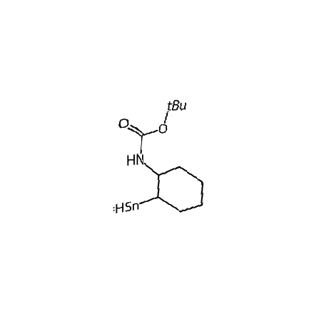 CC(C)(C)OC(=O)NC1CCCC[CH]1[SnH]